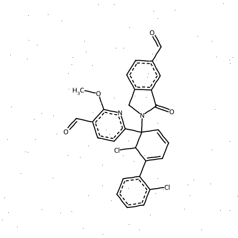 COc1nc(C2(N3Cc4ccc(C=O)cc4C3=O)C=CC=C(c3ccccc3Cl)C2Cl)ccc1C=O